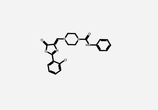 O=C1OC(c2ccccc2Cl)=NC1=CN1CCN(C(=O)Nc2ccccc2)CC1